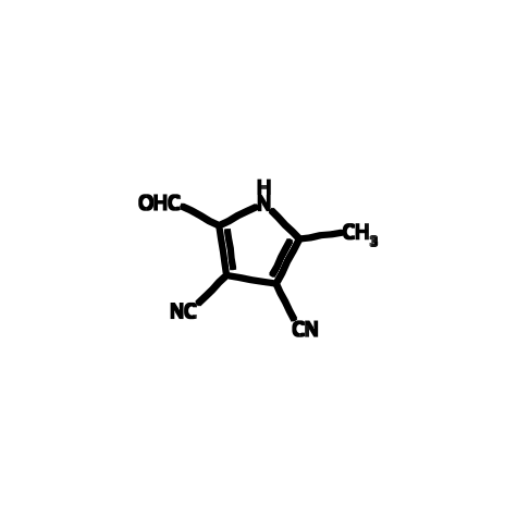 Cc1[nH]c(C=O)c(C#N)c1C#N